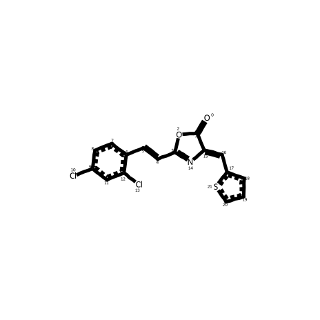 O=C1OC(/C=C/c2ccc(Cl)cc2Cl)=NC/1=C\c1cccs1